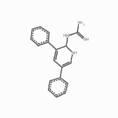 N=C(N)NC1NC=C(c2ccccc2)C=C1c1ccccc1